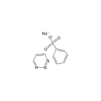 O=S(=O)([O-])c1ccccc1.[Na+].c1cnnnc1